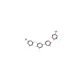 Nc1cc(-c2ccc(Oc3c([N+](=O)[O-])cc(C(F)(F)F)cc3[N+](=O)[O-])c(N)c2)ccc1Oc1c([N+](=O)[O-])cc(C(F)(F)F)cc1[N+](=O)[O-]